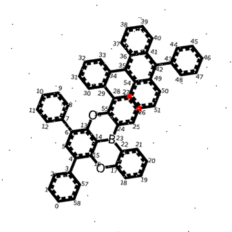 c1ccc(-c2cc(-c3ccccc3)c3c4c2Oc2ccccc2B4c2cccc(-c4ccccc4-c4c5ccccc5c(-c5ccccc5)c5ccccc45)c2O3)cc1